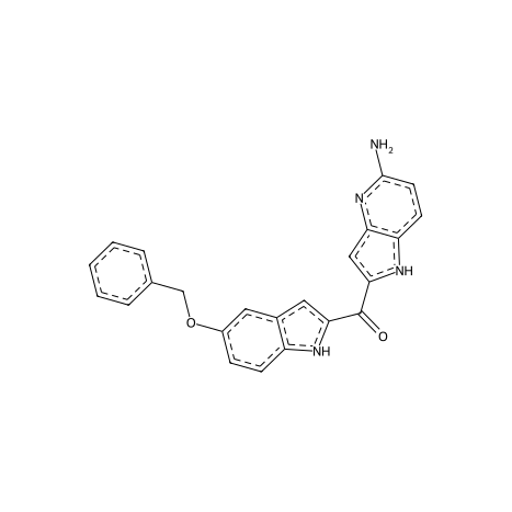 Nc1ccc2[nH]c(C(=O)c3cc4cc(OCc5ccccc5)ccc4[nH]3)cc2n1